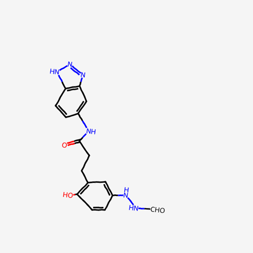 O=CNNc1ccc(O)c(CCC(=O)Nc2ccc3[nH]nnc3c2)c1